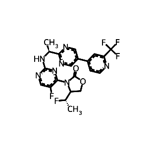 C[C@H](Nc1ncc(F)c(N2C(=O)OCC2[C@H](C)F)n1)c1ncc(-c2ccnc(C(F)(F)F)c2)cn1